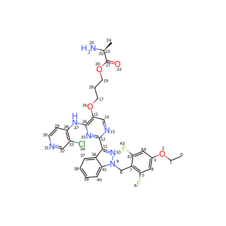 CCOc1cc(F)c(Cn2nc(-c3ncc(OCCCOC(=O)[C@H](C)N)c(Nc4ccncc4Cl)n3)c3ccccc32)c(F)c1